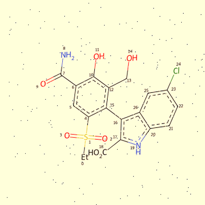 CCS(=O)(=O)c1cc(C(N)=O)c(O)c(CO)c1-c1c(C(=O)O)[nH]c2ccc(Cl)cc12